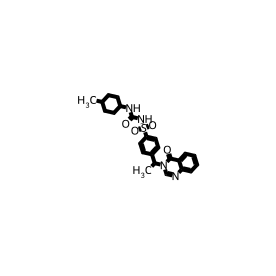 CC1CCC(NC(=O)NS(=O)(=O)c2ccc(C(C)n3cnc4ccccc4c3=O)cc2)CC1